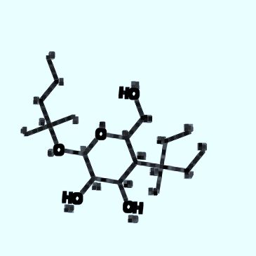 CCCC(C)(C)OC1OC(CO)C(C(C)(CC)CC)C(O)C1O